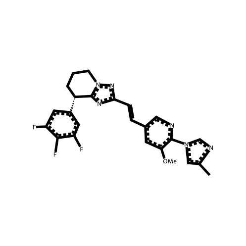 COc1cc(/C=C/c2nc3n(n2)CCC[C@H]3c2cc(F)c(F)c(F)c2)cnc1-n1cnc(C)c1